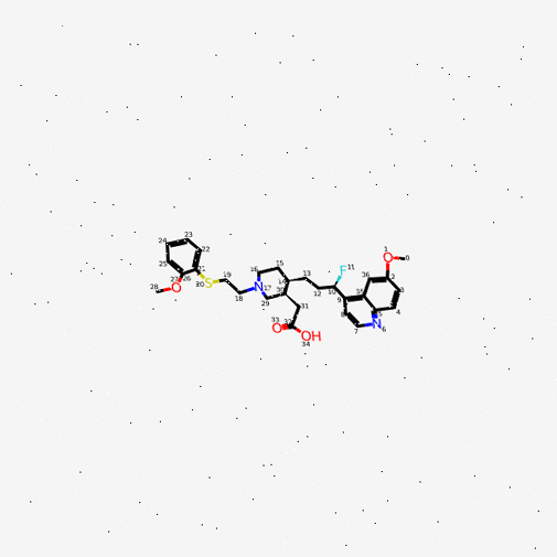 COc1ccc2nccc([C@H](F)CC[C@@H]3CCN(CCSc4ccccc4OC)C[C@@H]3CC(=O)O)c2c1